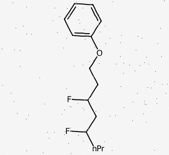 CCCC(F)CC(F)CCOc1ccccc1